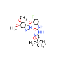 COc1cc2ncnc(Oc3cc(NC(=O)Nc4cc(C(C)(C)C)on4)ccc3F)c2cc1OC